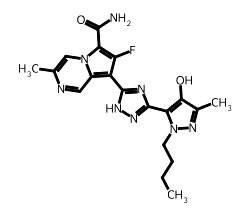 CCCCn1nc(C)c(O)c1-c1n[nH]c(-c2c(F)c(C(N)=O)n3cc(C)ncc23)n1